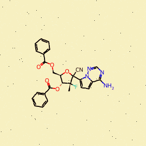 C[C@@]1(F)[C@H](OC(=O)c2ccccc2)[C@@H](COC(=O)c2ccccc2)OC1(C#N)c1ccc2c(N)ncnn12